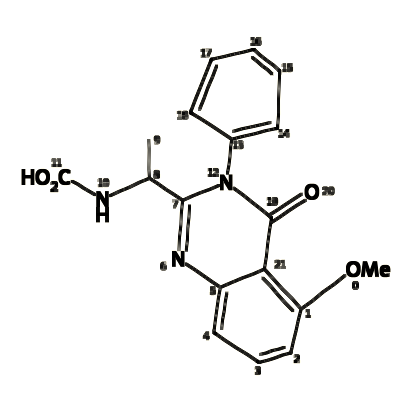 COc1cccc2nc(C(C)NC(=O)O)n(-c3ccccc3)c(=O)c12